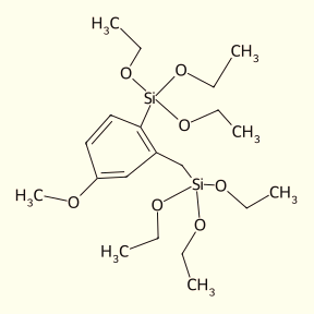 CCO[Si](Cc1cc(OC)ccc1[Si](OCC)(OCC)OCC)(OCC)OCC